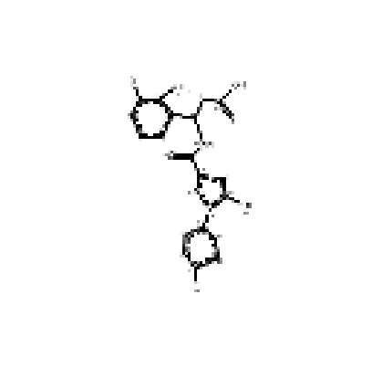 Cc1c(F)cccc1C(CC(=O)O)NC(=O)c1cc(O)n(-c2ccc(Cl)cc2)n1